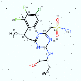 CC(C)C[C@H](CO)Nc1nc(C[C@H](C)c2ccc(Cl)c(F)c2F)nc(CS(N)(=O)=O)n1